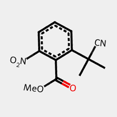 COC(=O)c1c([N+](=O)[O-])cccc1C(C)(C)C#N